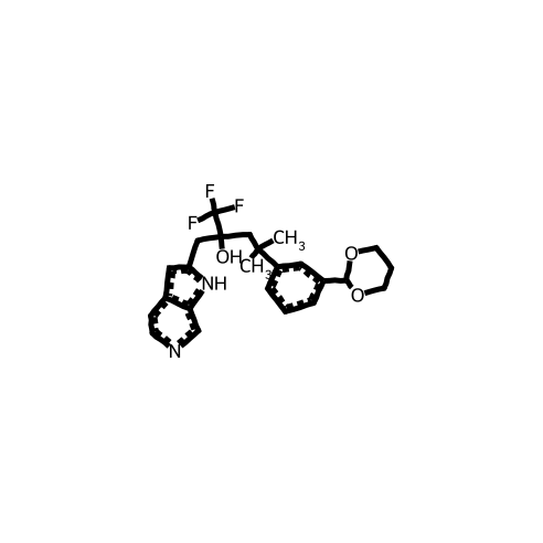 CC(C)(CC(O)(Cc1cc2ccncc2[nH]1)C(F)(F)F)c1cccc(C2OCCCO2)c1